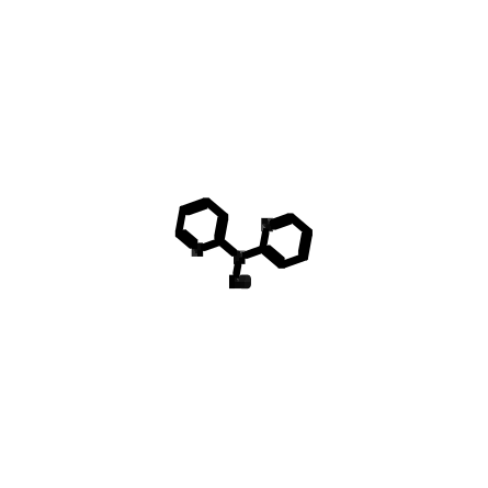 O=NN(c1ccccn1)c1ccccn1